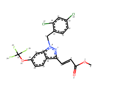 COC(=O)C=Cc1nn(Cc2ccc(Cl)cc2Cl)c2cc(OC(F)(F)F)ccc12